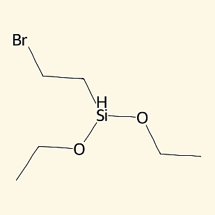 CCO[SiH](CCBr)OCC